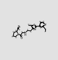 CCc1cc(-c2nc(CCNCC(=O)N3CCCC3C#N)c(C)s2)ccn1